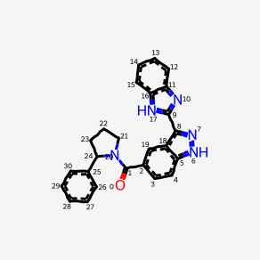 O=C(c1ccc2[nH]nc(-c3nc4ccccc4[nH]3)c2c1)N1CCCC1c1ccccc1